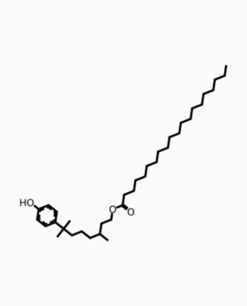 CCCCCCCCCCCCCCCCCCCC(=O)OCCC(C)CCCC(C)(C)c1ccc(O)cc1